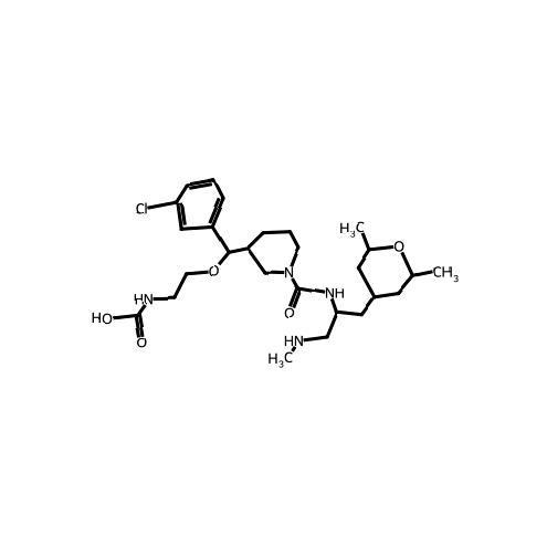 CNCC(CC1CC(C)OC(C)C1)NC(=O)N1CCCC(C(OCCNC(=O)O)c2cccc(Cl)c2)C1